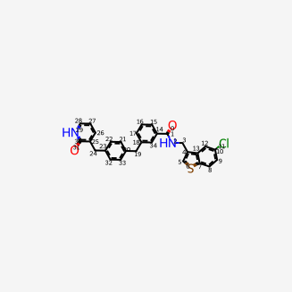 O=C(NCc1csc2ccc(Cl)cc12)c1cccc(Cc2ccc(Cc3ccc[nH]c3=O)cc2)c1